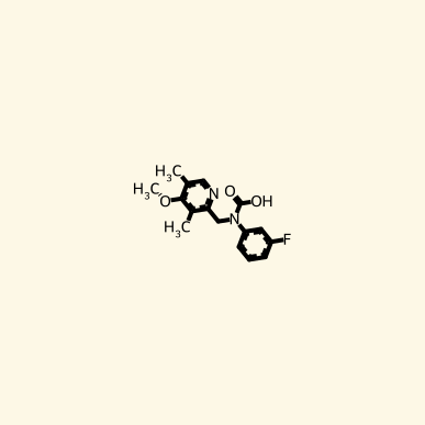 COc1c(C)cnc(CN(C(=O)O)c2cccc(F)c2)c1C